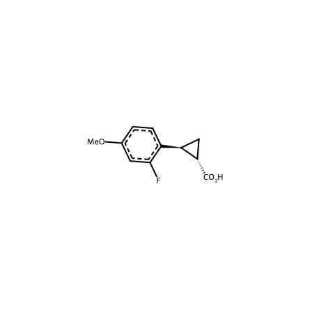 COc1ccc([C@H]2C[C@@H]2C(=O)O)c(F)c1